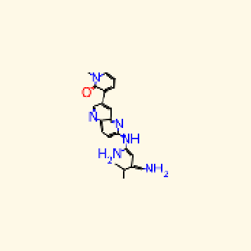 CC(C)C(=C/N)/C=C(\N)Nc1ccc2ncc(-c3cccn(C)c3=O)cc2n1